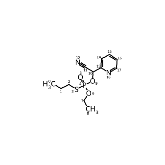 CCCSP(=O)(OCC)OC(C#N)c1ccccn1